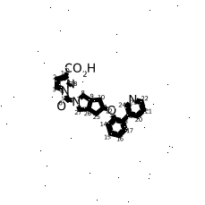 O=C(O)c1ccn(C(=O)N2CC3CC(Oc4ccccc4-c4cccnc4)CC3C2)n1